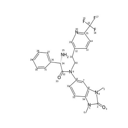 Cn1c(=O)n(C)c2cc(N(CCc3ccc(C(F)(F)F)nc3)C(=O)[C@@H](N)c3ccccc3)ccc21